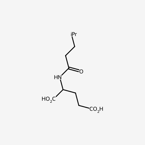 CC(C)CCC(=O)NC(CCC(=O)O)C(=O)O